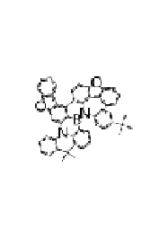 CC(C)(C)c1ccc(N2B3c4cccc5c4N(c4ccccc4C5(C)C)c4cc5oc6ccccc6c5c(c43)-c3ccc4oc5ccccc5c4c32)cc1